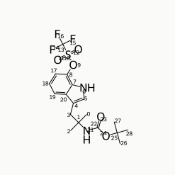 CC(C)(Cc1c[nH]c2c(OS(=O)(=O)C(F)(F)F)cccc12)NC(=O)OC(C)(C)C